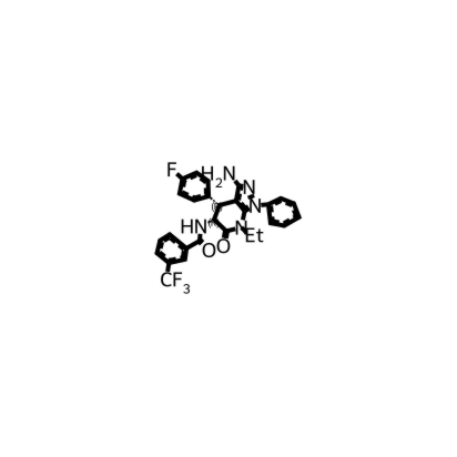 CCN1C(=O)[C@H](NC(=O)c2cccc(C(F)(F)F)c2)[C@H](c2ccc(F)cc2)c2c(N)nn(-c3ccccc3)c21